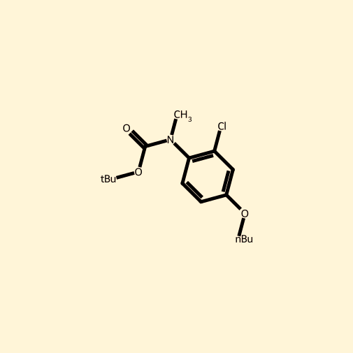 CCCCOc1ccc(N(C)C(=O)OC(C)(C)C)c(Cl)c1